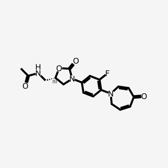 CC(=O)NC[C@H]1CN(c2ccc(N3C=CC(=O)C=CC3)c(F)c2)C(=O)O1